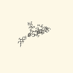 CCNC(=O)O[C@H](C[C@H](C(C)C)N(C)C(=O)[C@@H](NC(=O)[C@@]1(C)CCCN1C)C(C)CC)c1nc(C(=O)Oc2c(F)c(F)c(F)c(F)c2F)cs1